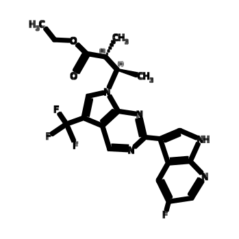 CCOC(=O)[C@H](C)[C@@H](C)n1cc(C(F)(F)F)c2cnc(-c3c[nH]c4ncc(F)cc34)nc21